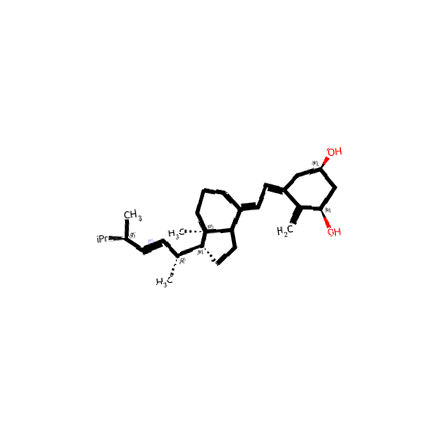 C=C1C(=CC=C2CCC[C@@]3(C)C2CC[C@@H]3[C@H](C)/C=C/[C@H](C)C(C)C)C[C@@H](O)C[C@H]1O